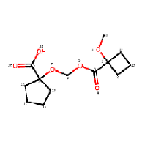 COC1(C(=O)OCOC2(C(=O)O)CCCC2)CCC1